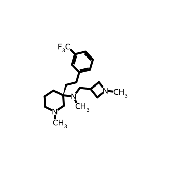 CN1CC(CN(C)[C@@]2(CCc3cccc(C(F)(F)F)c3)CCCN(C)C2)C1